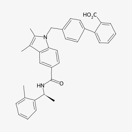 Cc1ccccc1[C@H](C)NC(=O)c1ccc2c(c1)c(C)c(C)n2Cc1ccc(-c2ccccc2C(=O)O)cc1